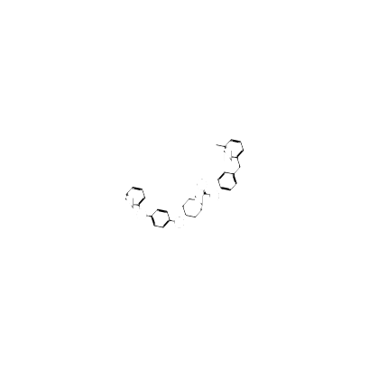 Cc1cccc(Cc2ccc(OC(=O)N3CCC(Oc4ccc(Oc5ccccn5)cc4)CC3)cc2)n1